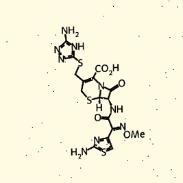 CON=C(C(=O)N[C@@H]1C(=O)N2C(C(=O)O)=C(CSc3nnc(N)[nH]3)CS[C@@H]12)c1csc(N)n1